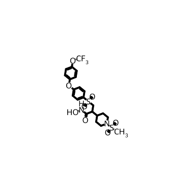 CS(=O)(=O)N1CCC(C(CS(=O)(=O)c2ccc(Oc3ccc(OC(F)(F)F)cc3)cc2)C(=O)NO)CC1